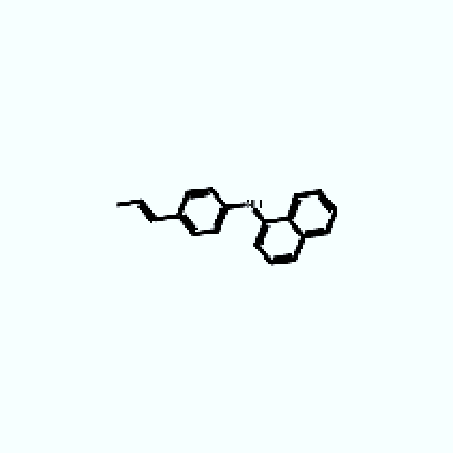 C/C=C/c1ccc(Nc2cccc3ccccc23)cc1